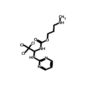 CNCCCOC(=O)NC(Nc1ncccn1)C(Cl)(Cl)Cl